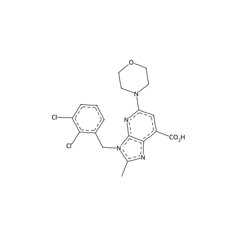 Cc1nc2c(C(=O)O)cc(N3CCOCC3)nc2n1Cc1cccc(Cl)c1Cl